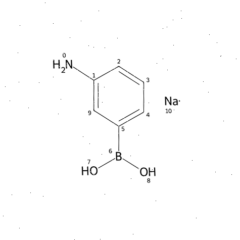 Nc1cccc(B(O)O)c1.[Na]